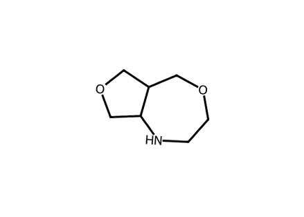 C1COCC2COCC2N1